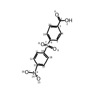 O=C(O)c1ccc(S(=O)(=O)c2ccc([N+](=O)[O-])cc2)cc1